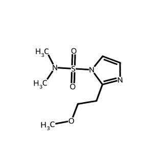 COCCc1nccn1S(=O)(=O)N(C)C